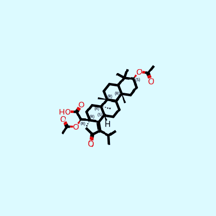 CC(=O)O[C@H]1CC[C@@]2(C)C(CC[C@]3(C)C2CC[C@@H]2C4=C(C(C)C)C(=O)C[C@]4([C@@H](OC(C)=O)C(=O)O)CC[C@]23C)C1(C)C